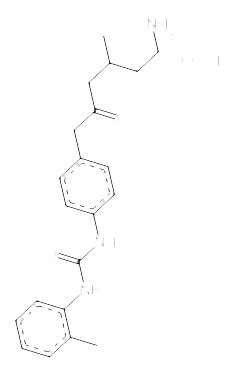 Cc1ccccc1NC(=O)Nc1ccc(CC(=O)CC(C)C[C@H](N)C(=O)O)cc1